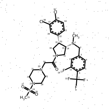 CN(Cc1ccc(C(F)(F)F)c(F)c1)[C@@H]1CN(C(=O)CN2CCN(S(C)(=O)=O)CC2)C[C@@H]1c1ccc(Cl)c(Cl)c1